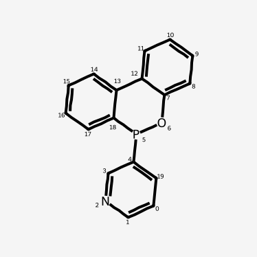 c1cncc(P2Oc3ccccc3-c3ccccc32)c1